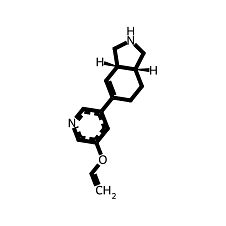 C=COc1cncc(C2=C[C@@H]3CNC[C@@H]3CC2)c1